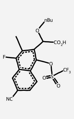 CCCCOC(C(=O)O)c1c(C)c(F)c2cc(C#N)ccc2c1OS(=O)(=O)C(F)(F)F